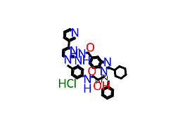 CNC(=O)c1ccc2c(c1)nc(C1CCCCC1)n2[C@H](Cc1ccccc1)[C@H](O)C(=O)Nc1ccc(C)c(Nc2nccc(-c3cccnc3)n2)c1.Cl